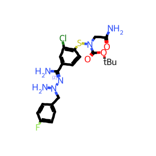 CC(C)(C)OC(=O)N(CC(N)=O)Sc1ccc(/C(N)=N/N(N)Cc2ccc(F)cc2)cc1Cl